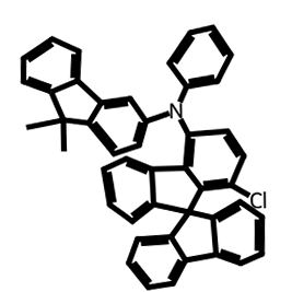 CC1(C)c2ccccc2-c2cc(N(c3ccccc3)c3ccc(Cl)c4c3-c3ccccc3C43c4ccccc4-c4ccccc43)ccc21